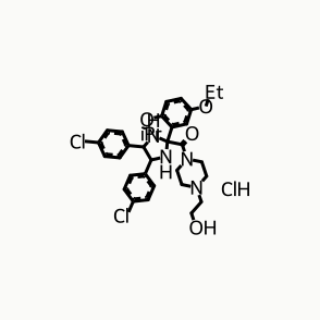 CCOc1ccc(OC(C)C)c(C2(C(=O)N3CCN(CCO)CC3)NC(c3ccc(Cl)cc3)C(c3ccc(Cl)cc3)N2)c1.Cl